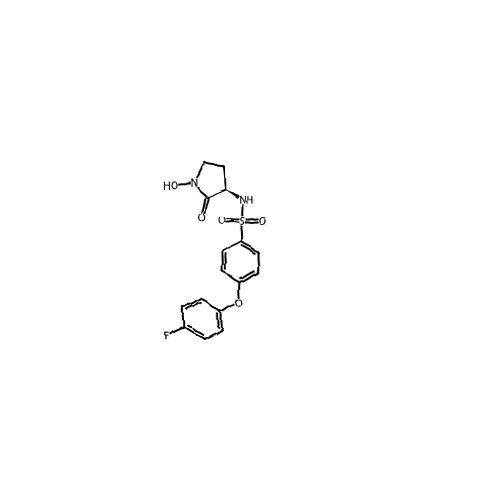 O=C1[C@H](NS(=O)(=O)c2ccc(Oc3ccc(F)cc3)cc2)CCN1O